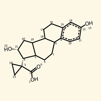 O=C(O)C1([C@H]2C3CCC4c5ccc(O)cc5CCC4C3C[C@H]2O)CC1